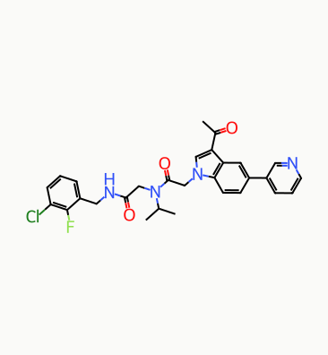 CC(=O)c1cn(CC(=O)N(CC(=O)NCc2cccc(Cl)c2F)C(C)C)c2ccc(-c3cccnc3)cc12